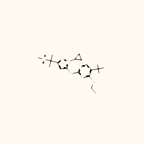 CCNc1nc(Nc2cc(C(C)(C)S(C)(=O)=O)nn2C2CC2)ncc1C(F)(F)F